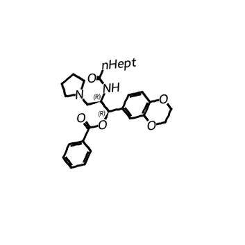 CCCCCCCC(=O)N[C@H](CN1CCCC1)[C@H](OC(=O)c1ccccc1)c1ccc2c(c1)OCCO2